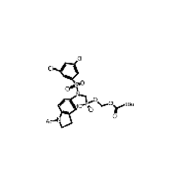 CC(=O)N1CCc2cc(N(CP(=O)(O)OCOC(=O)C(C)(C)C)S(=O)(=O)c3cc(Cl)cc(Cl)c3)ccc21